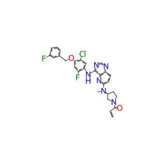 C=CC(=O)N1CC[C@H](N(C)c2ccc3ncnc(Nc4cc(Cl)c(OCc5cccc(F)c5)cc4F)c3n2)C1